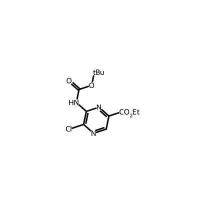 CCOC(=O)c1cnc(Cl)c(NC(=O)OC(C)(C)C)n1